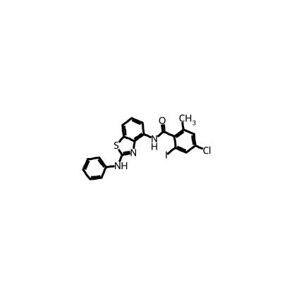 Cc1cc(Cl)cc(I)c1C(=O)Nc1cccc2sc(Nc3ccccc3)nc12